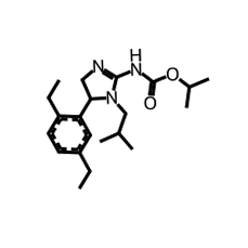 CCc1ccc(CC)c(C2CN=C(NC(=O)OC(C)C)N2CC(C)C)c1